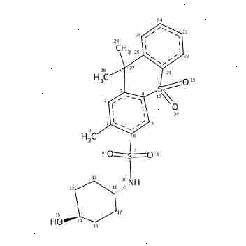 Cc1cc2c(cc1S(=O)(=O)N[C@H]1CC[C@H](O)CC1)S(=O)(=O)c1ccccc1C2(C)C